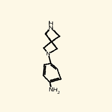 Nc1ccc(N2CC3(CNC3)C2)cc1